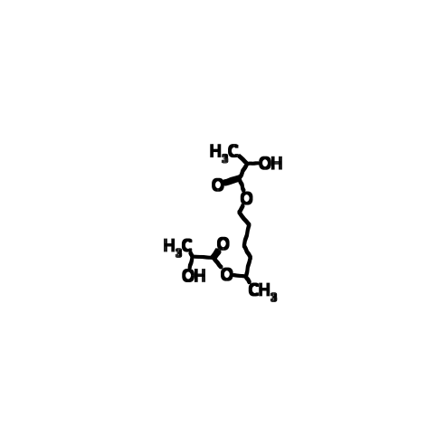 CC(CCCCOC(=O)C(C)O)OC(=O)C(C)O